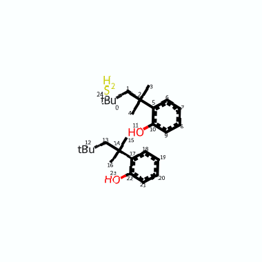 CC(C)(C)CC(C)(C)c1ccccc1O.CC(C)(C)CC(C)(C)c1ccccc1O.S